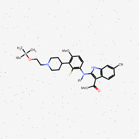 COC(=O)c1c(N(c2ccc(OC)c(C3CCN(CCO[Si](C)(C)C(C)(C)C)CC3)c2F)C(C)C)[nH]c2cc(C#N)ccc12